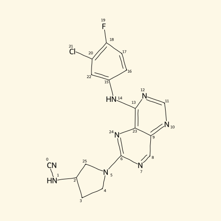 N#CNC1CCN(c2ncc3ncnc(Nc4ccc(F)c(Cl)c4)c3n2)C1